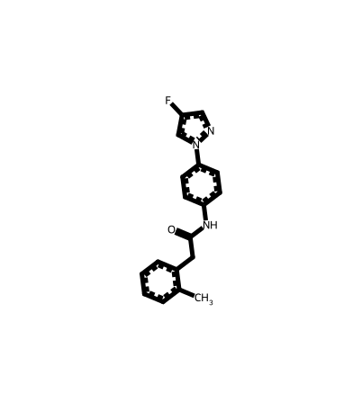 Cc1ccccc1CC(=O)Nc1ccc(-n2cc(F)cn2)cc1